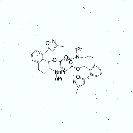 CCCN(CCC)C1CCc2cccc(-c3cc(C)no3)c2C1OC(=O)/C=C\C(=O)OC1c2c(cccc2-c2cc(C)no2)CCC1N(CCC)CCC